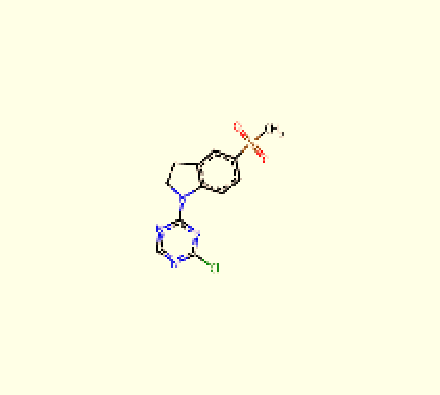 CS(=O)(=O)c1ccc2c(c1)CCN2c1ncnc(Cl)n1